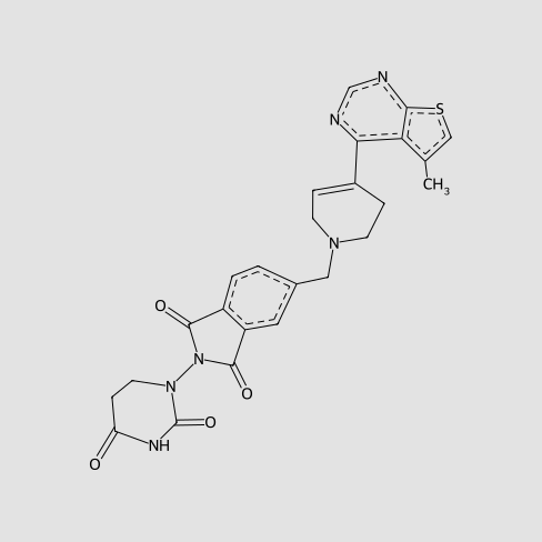 Cc1csc2ncnc(C3=CCN(Cc4ccc5c(c4)C(=O)N(N4CCC(=O)NC4=O)C5=O)CC3)c12